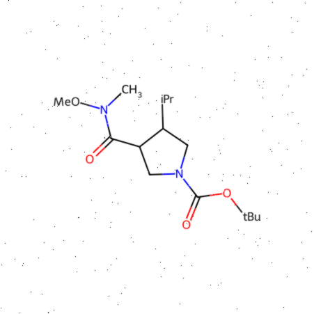 CON(C)C(=O)C1CN(C(=O)OC(C)(C)C)CC1C(C)C